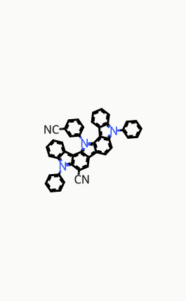 N#Cc1cccc(-n2c3c(ccc4c3c3ccccc3n4-c3ccccc3)c3cc(C#N)c4c(c5ccccc5n4-c4ccccc4)c32)c1